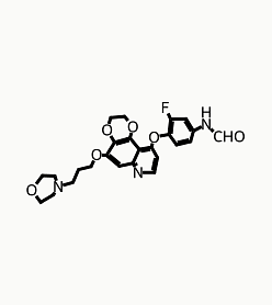 O=CNc1ccc(Oc2ccnc3cc(OCCCN4CCOCC4)c4c(c23)OCCO4)c(F)c1